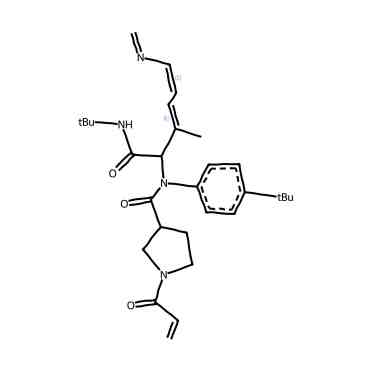 C=CC(=O)N1CCC(C(=O)N(c2ccc(C(C)(C)C)cc2)C(C(=O)NC(C)(C)C)/C(C)=C/C=C\N=C)C1